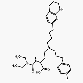 CCN(CC)C(=O)NC(CCN(CCCCc1ccc2c(n1)NCCC2)CCOc1ccc(F)cc1)C(=O)O